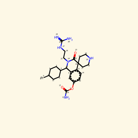 CC(C)C1CCC(C2c3cc(OC(N)=O)ccc3C3(CCNCC3)C(=O)N2CCNC(=N)N)CC1